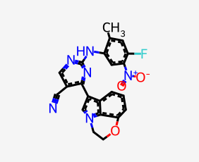 Cc1cc(F)c([N+](=O)[O-])cc1Nc1ncc(C#N)c(-c2cn3c4c(cccc24)OCC3)n1